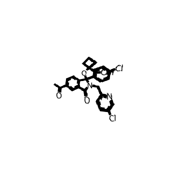 CC(=O)c1ccc2c(c1)C(=O)N(Cc1ccc(Cl)cn1)C2(OC1(CO)CCC1)c1ccc(Cl)cc1